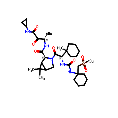 CCCC[C@H](NC(=O)[C@@H]1C2C(CN1C(=O)[C@@H](NC(=O)NC1(CS(=O)(=O)C(C)(C)C)CCCCC1)C1(C)CCCCC1)C2(C)C)C(=O)C(=O)NC1CC1